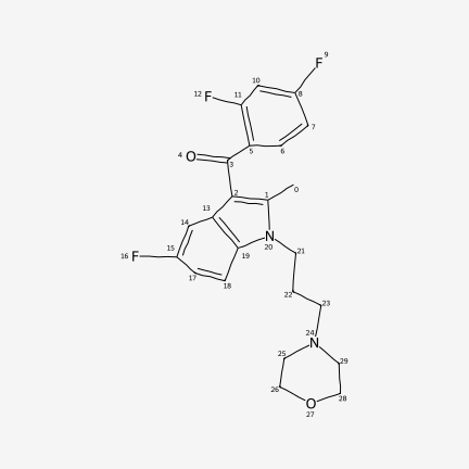 Cc1c(C(=O)c2ccc(F)cc2F)c2cc(F)ccc2n1CCCN1CCOCC1